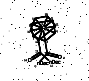 CCCCCCCCCCC(=O)[C]12[CH]3[CH]4[CH]5[CH]1[Fe]45321678[CH]2[CH]1[CH]6[C]7(C(=O)CCCCCCCCCC)[CH]28